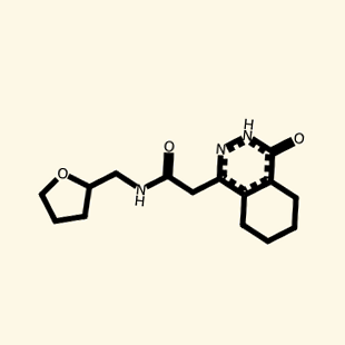 O=C(Cc1n[nH]c(=O)c2c1CCCC2)NCC1CCCO1